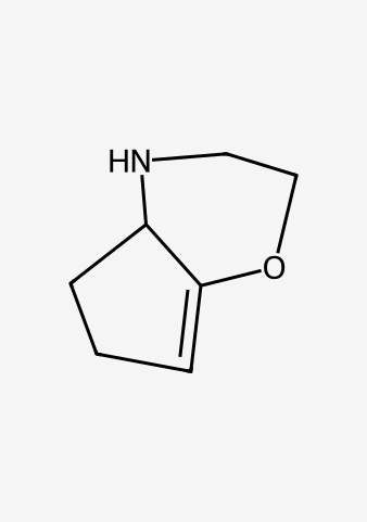 C1=C2OCCNC2CC1